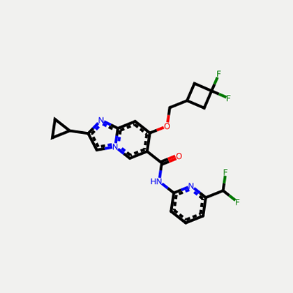 O=C(Nc1cccc(C(F)F)n1)c1cn2cc(C3CC3)nc2cc1OCC1CC(F)(F)C1